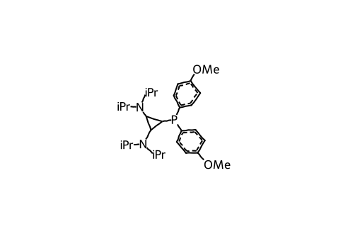 COc1ccc(P(c2ccc(OC)cc2)C2C(N(C(C)C)C(C)C)C2N(C(C)C)C(C)C)cc1